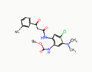 CN(C)c1cc(NC(=O)OC(C)(C)C)c(NC(=O)CC(=O)c2cccc(C#N)c2)cc1Cl